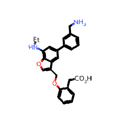 CCNc1cc(-c2cccc(CN)c2)cc2c(COc3ccccc3CC(=O)O)coc12